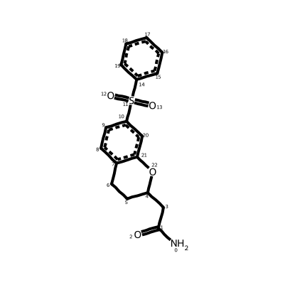 NC(=O)CC1CCc2ccc(S(=O)(=O)c3ccccc3)cc2O1